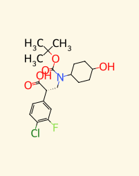 CC(C)(C)OC(=O)N(C[C@@H](C(=O)O)c1ccc(Cl)c(F)c1)C1CCC(O)CC1